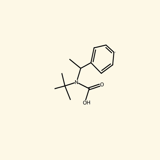 CC(c1cc[c]cc1)N(C(=O)O)C(C)(C)C